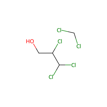 ClCCl.OCC(Cl)C(Cl)Cl